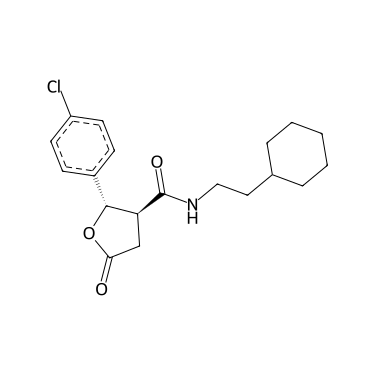 O=C1C[C@H](C(=O)NCCC2CCCCC2)[C@@H](c2ccc(Cl)cc2)O1